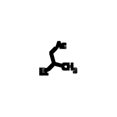 CCC(C)CC(C)=O